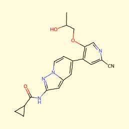 CC(O)COc1cnc(C#N)cc1-c1ccn2nc(NC(=O)C3CC3)cc2c1